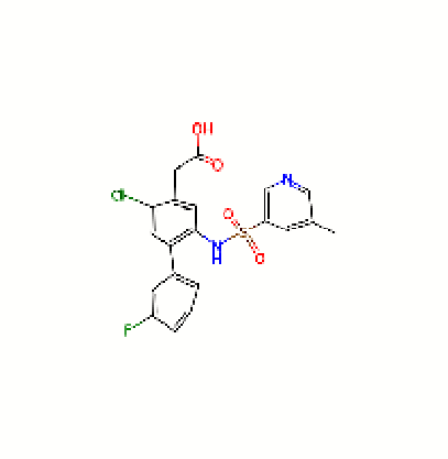 Cc1cncc(S(=O)(=O)Nc2cc(CC(=O)O)c(Cl)cc2-c2cccc(F)c2)c1